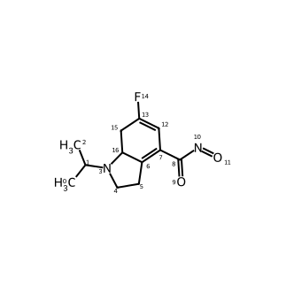 CC(C)N1CCC2=C(C(=O)N=O)C=C(F)CC21